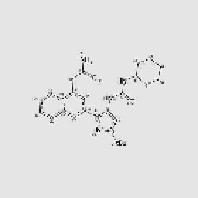 CC(C)(C)c1cc(NC(=O)NC2CCCCC2)n(-c2cc(CC(N)=O)c3ccccc3c2)n1